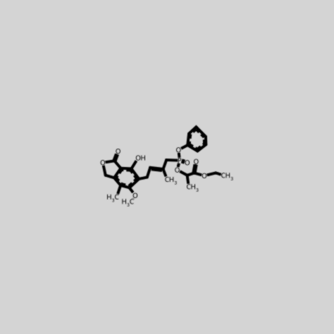 CCOC(=O)C(C)OP(=O)(C/C(C)=C/Cc1c(O)c2c(c(C)c1OC)COC2=O)Oc1ccccc1